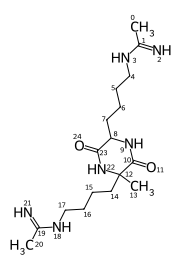 CC(=N)NCCCCC1NC(=O)C(C)(CCCCNC(C)=N)NC1=O